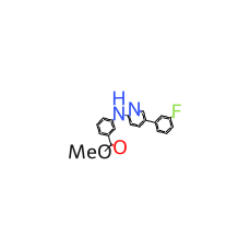 COC(=O)c1cccc(Nc2ccc(-c3cccc(F)c3)cn2)c1